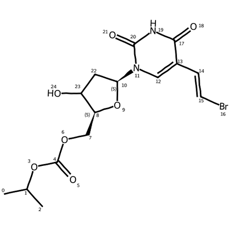 CC(C)OC(=O)OC[C@@H]1O[C@H](n2cc(C=CBr)c(=O)[nH]c2=O)CC1O